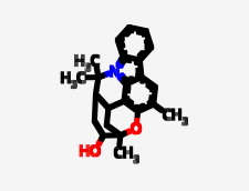 Cc1cc2c3ccccc3n3c2c2c1OC1(C)CC2C(CC1O)C3(C)C